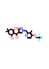 Cc1c(OCC(F)(F)F)ccnc1Cn1cc(C(=O)C2=C(O)CC(C)(C)CC2=O)cn1